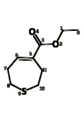 CCOC(=O)C1=CCCSCC1